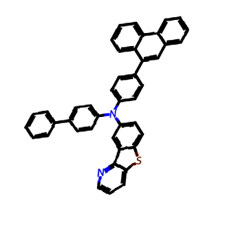 c1ccc(-c2ccc(N(c3ccc(-c4cc5ccccc5c5ccccc45)cc3)c3ccc4sc5cccnc5c4c3)cc2)cc1